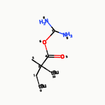 CC(C)(C)CC(C)(C(=O)OC(N)N)C(C)(C)C